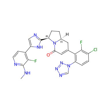 CNc1nccc(-c2cnc([C@H]3CC[C@H]4CC(c5c(-n6cnnn6)ccc(Cl)c5F)=CC(=O)N43)[nH]2)c1F